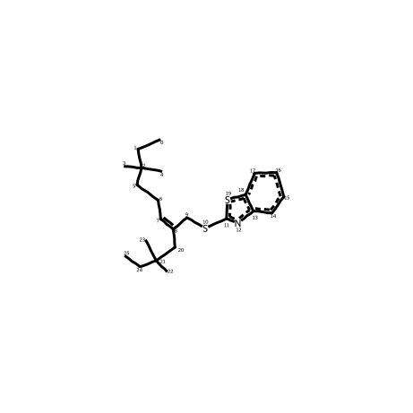 CCC(C)(C)CC/C=C(\CSc1nc2ccccc2s1)CC(C)(C)CC